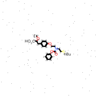 CCCCSCCN(CCOc1ccc(CC(OCC)C(=O)O)cc1)C(=O)Oc1ccccc1